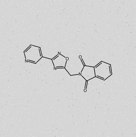 O=C1c2ccccc2C(=O)N1Cc1nc(-c2cccnc2)no1